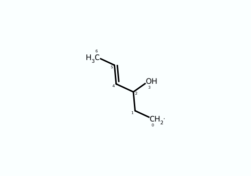 [CH2]CC(O)/C=C/C